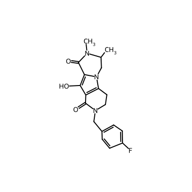 CC1Cn2c3c(c(O)c2C(=O)N1C)C(=O)N(Cc1ccc(F)cc1)CC3